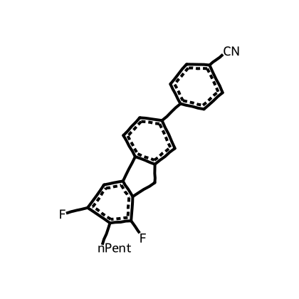 CCCCCc1c(F)cc2c(c1F)Cc1cc(-c3ccc(C#N)cc3)ccc1-2